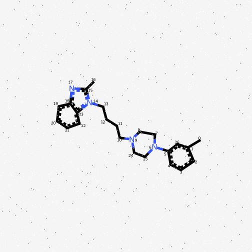 Cc1cccc(N2CCN(CCCCn3c(C)nc4ccccc43)CC2)c1